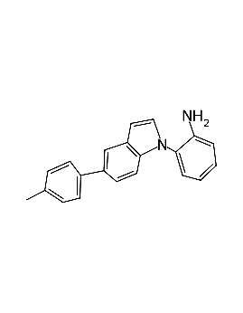 Cc1ccc(-c2ccc3c(ccn3-c3ccccc3N)c2)cc1